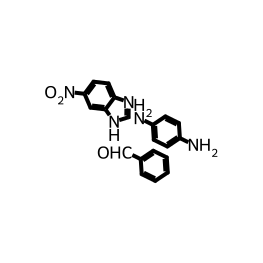 Nc1ccc(N)cc1.O=Cc1ccccc1.O=[N+]([O-])c1ccc2nc[nH]c2c1